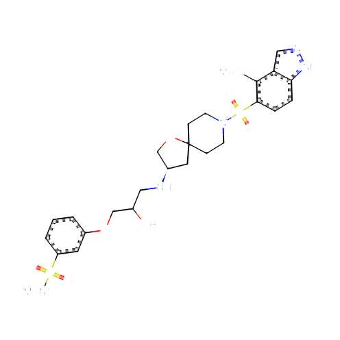 CNS(=O)(=O)c1cccc(OCC(O)CN[C@H]2COC3(CCN(S(=O)(=O)c4ccc5[nH]ncc5c4OC)CC3)C2)c1